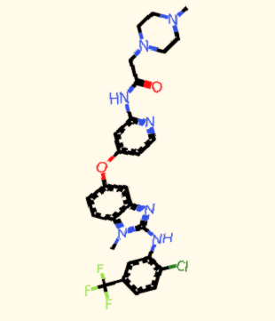 CN1CCN(CC(=O)Nc2cc(Oc3ccc4c(c3)nc(Nc3cc(C(F)(F)F)ccc3Cl)n4C)ccn2)CC1